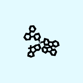 CC1(C)c2ccccc2-c2ccc(N(c3cccc(-c4ccccc4-c4ccccc4)c3)c3ccc4c(c3)C3(c5ccccc5-c5ccccc53)c3ccccc3-4)cc21